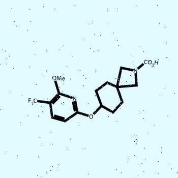 COc1nc(OC2CCC3(CC2)CN(C(=O)O)C3)ccc1C(F)(F)F